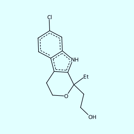 CCC1(CCO)OCCc2c1[nH]c1cc(Cl)ccc21